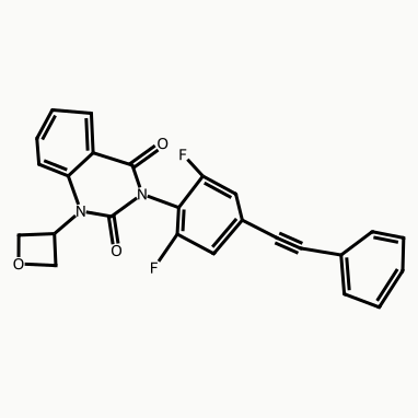 O=c1c2ccccc2n(C2COC2)c(=O)n1-c1c(F)cc(C#Cc2ccccc2)cc1F